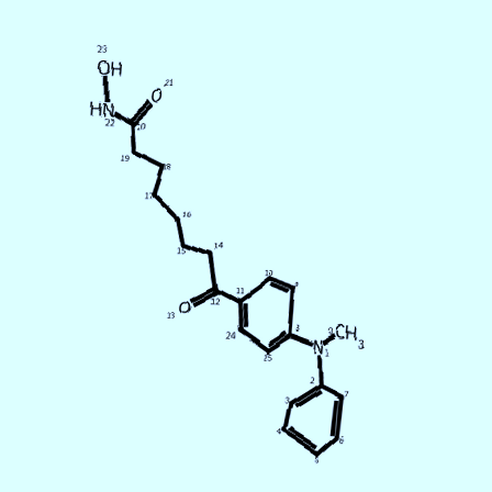 CN(c1ccccc1)c1ccc(C(=O)CCCCCCC(=O)NO)cc1